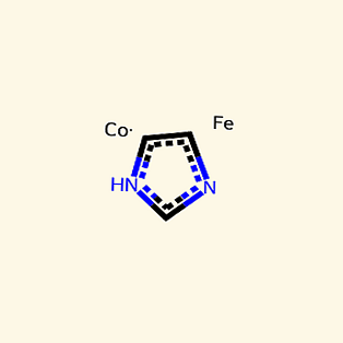 [Co].[Fe].c1c[nH]cn1